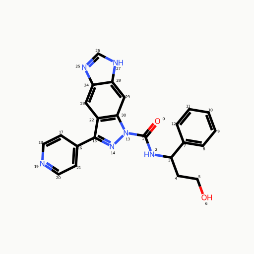 O=C(NC(CCO)c1ccccc1)n1nc(-c2ccncc2)c2cc3nc[nH]c3cc21